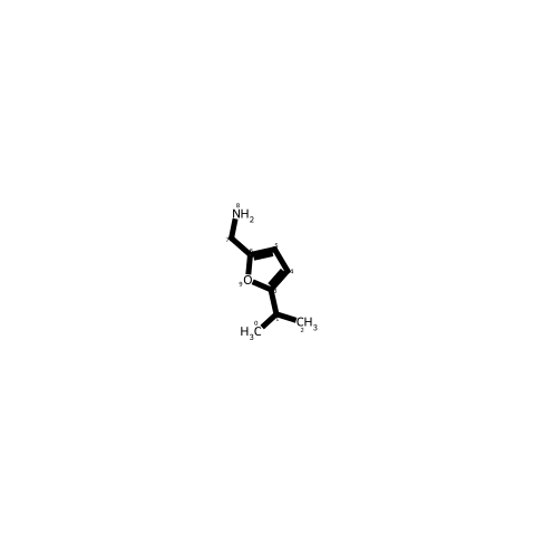 CC(C)c1ccc(CN)o1